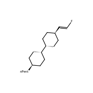 CCCCC[C@H]1CC[C@H]([C@H]2CC[C@H](C=CF)CC2)CC1